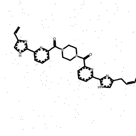 C=Cc1c[nH]c(-c2cccc(C(=O)N3CCN(C(=O)c4cccc(-c5nc(C/C=C\C)c[nH]5)n4)CC3)n2)n1